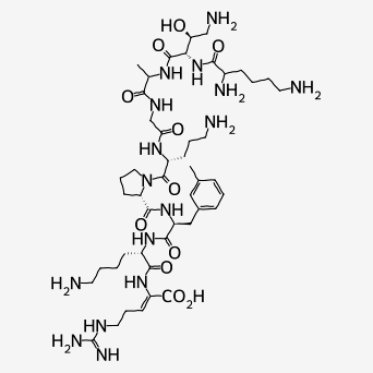 Cc1cccc(C[C@H](NC(=O)[C@@H]2CCCN2C(=O)[C@@H](CCCN)NC(=O)CNC(=O)C(C)NC(=O)[C@@H](NC(=O)C(N)CCCCN)[C@@H](O)CN)C(=O)N[C@@H](CCCCN)C(=O)N/C(=C\CCNC(=N)N)C(=O)O)c1